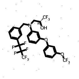 O[C@H](CN(Cc1cccc(C(F)(F)C(F)(F)C(F)(F)F)c1)c1cccc(Oc2cccc(OC(F)(F)F)c2)c1)C(F)(F)F